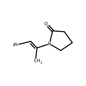 CC(=CC(C)C)N1CCCC1=O